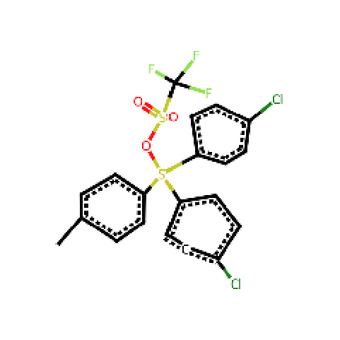 Cc1ccc(S(OS(=O)(=O)C(F)(F)F)(c2ccc(Cl)cc2)c2ccc(Cl)cc2)cc1